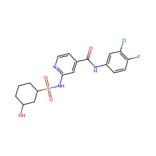 O=C(Nc1ccc(F)c(Cl)c1)c1ccnc(NS(=O)(=O)C2CCCC(O)C2)c1